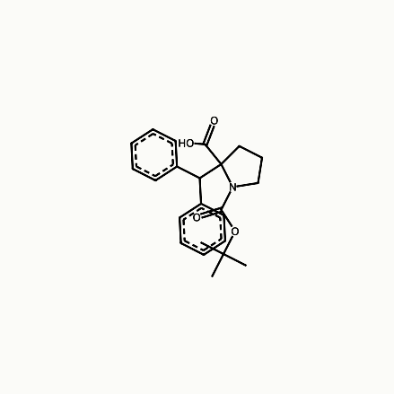 CC(C)(C)OC(=O)N1CCCC1(C(=O)O)C(c1ccccc1)c1ccccc1